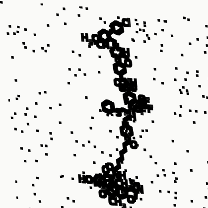 C[C@@H](C(=O)N[C@@H]1C[C@@H](O)CN1C(=O)[C@@H](NC(=O)CCCCCCC(=O)N1CCN(CC[C@H](CSc2ccccc2)Nc2ccc(S(=O)(=O)NC(=O)c3ccc4c(c3)OC[C@@H]3CN(CC5=C(c6ccc(Cl)cc6)CCC(C)(C)C5)CCN43)cc2S(=O)(=O)C(F)(F)F)CC1)C(C)(C)C)c1ccc2c(c1)OCc1ncsc1-2